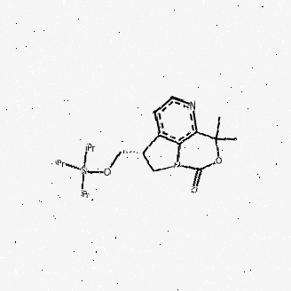 CC(C)[Si](OC[C@H]1CN2C(=O)OC(C)(C)c3nccc1c32)(C(C)C)C(C)C